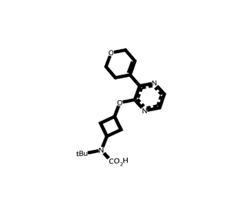 CC(C)(C)N(C(=O)O)C1CC(Oc2nccnc2C2=CCOCC2)C1